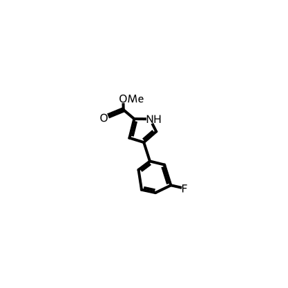 COC(=O)c1cc(-c2cccc(F)c2)c[nH]1